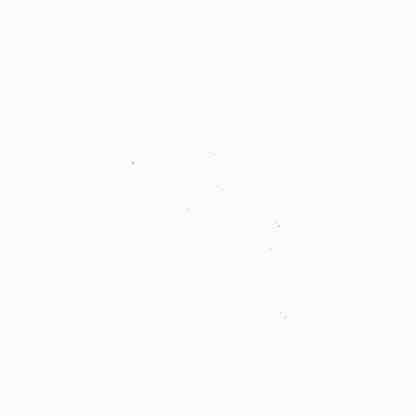 NS(=O)(=NC(=O)Nc1c2c(cc3c1C[C@H](F)C3)CCC2)c1cnn2c1OC[C@@H](N1CCC1)C2